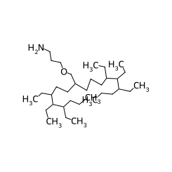 CCCC(CC)C(CC)C(CC)CCCC(CCC(CC)C(CC)C(CC)CCC)COCCCN